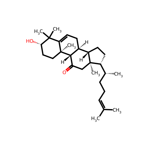 CC(C)=CCC[C@@H](C)[C@H]1CC[C@H]2[C@@H]3CC=C4C(C)(C)[C@@H](O)CC[C@]4(C)[C@H]3C(=O)C[C@]12C